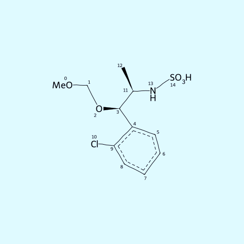 COCO[C@H](c1ccccc1Cl)[C@@H](C)NS(=O)(=O)O